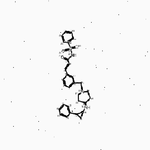 O=C(C=Cc1cccc(CN2CCC(NC3CC3c3ccccc3)CC2)c1)NS(=O)(=O)c1ccccc1